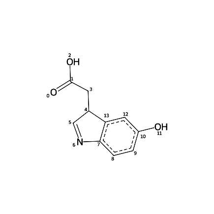 O=C(O)CC1C=Nc2ccc(O)cc21